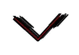 [S-2].[S-2].[S-2].[S-2].[S-2].[S-2].[S-2].[S-2].[S-2].[S-2].[S-2].[S-2].[S-2].[S-2].[S-2].[S-2].[S-2].[S-2].[S-2].[S-2].[S-2].[S-2].[S-2].[S-2].[S-2].[S-2].[S-2].[S-2].[S-2].[S-2].[S-2].[S-2].[S-2].[S-2].[S-2].[S-2].[S-2].[S-2].[S-2].[S-2].[S-2].[S-2].[S-2].[S-2].[S-2].[S-2].[S-2].[S-2].[S-2].[S-2].[S-2].[S-2].[S-2].[S-2].[S-2].[S-2].[S-2].[S-2].[S-2].[S-2].[S-2].[S-2].[S-2].[S-2].[S-2].[S-2].[S-2].[S-2].[Zn+2].[Zn+2].[Zn+2].[Zn+2].[Zn+2].[Zn+2].[Zn+2].[Zn+2].[Zn+2].[Zn+2].[Zn+2].[Zn+2].[Zn+2].[Zn+2].[Zn+2].[Zn+2].[Zn+2].[Zn+2].[Zn+2].[Zn+2].[Zn+2].[Zn+2].[Zn+2].[Zn+2].[Zn+2].[Zn+2].[Zn+2].[Zn+2].[Zn+2].[Zn+2].[Zn+2].[Zn+2].[Zn+2].[Zn+2].[Zn+2].[Zn+2].[Zn+2].[Zn+2].[Zn+2].[Zn+2].[Zn+2].[Zn+2].[Zn+2].[Zn+2].[Zn+2].[Zn+2].[Zn+2].[Zn+2].[Zn+2].[Zn+2].[Zn+2].[Zn+2].[Zn+2].[Zn+2].[Zn+2].[Zn+2].[Zn+2].[Zn+2].[Zn+2].[Zn+2].[Zn+2].[Zn+2].[Zn+2].[Zn+2]